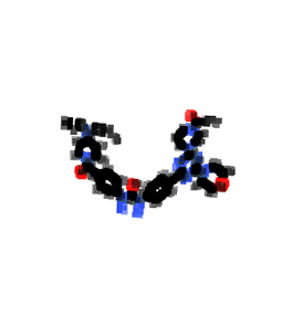 CC(C)C(=O)N1CCCN(c2nc(-c3ccc(NC(=O)Nc4ccc(C(=O)N5CCC(N(C)C)CC5)cc4)cc3)nc(N3CCOCC3)n2)CC1